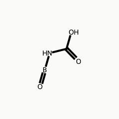 O=BNC(=O)O